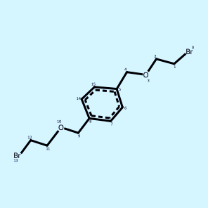 BrCCOCc1ccc(COCCBr)cc1